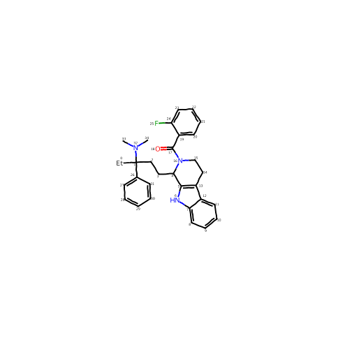 CCC(CCC1c2[nH]c3ccccc3c2CCN1C(=O)c1ccccc1F)(c1ccccc1)N(C)C